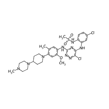 COc1cc(N2CCC(N3CCN(C)CC3)CC2)c(C)cc1Nc1nnc(Cl)c(Nc2cc(Cl)ccc2NS(C)(=O)=O)n1